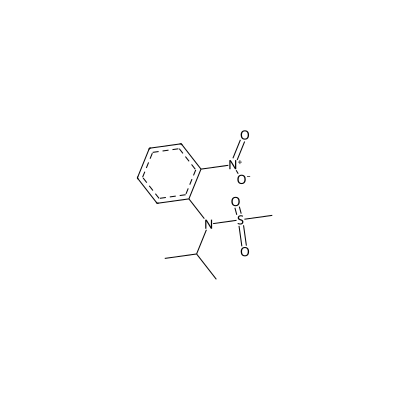 CC(C)N(c1ccccc1[N+](=O)[O-])S(C)(=O)=O